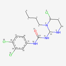 CCCCN1C(Cl)CCNC1NC(=O)Nc1ccc(Cl)c(Cl)c1